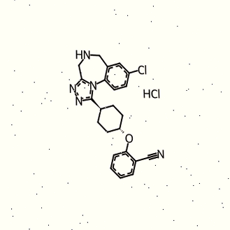 Cl.N#Cc1ccccc1O[C@H]1CC[C@H](c2nnc3n2-c2ccc(Cl)cc2CNC3)CC1